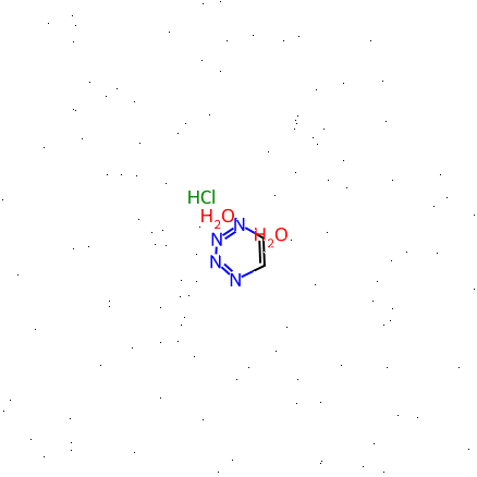 Cl.O.O.c1cnnnn1